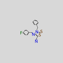 N#Cc1sc(=S)n(CCc2ccccc2)c1N=Cc1ccc(F)cc1